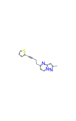 Cc1cc2nc(CCC#Cc3cccs3)ccn2n1